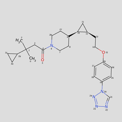 CC(C)(CC(=O)N1CCC([C@H]2C[C@H]2CCOc2ccc(-n3cnnn3)cc2)CC1)C1CC1